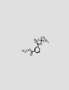 COC(=O)C1=CN(C(=O)OC(C)(C)C)CC=C1